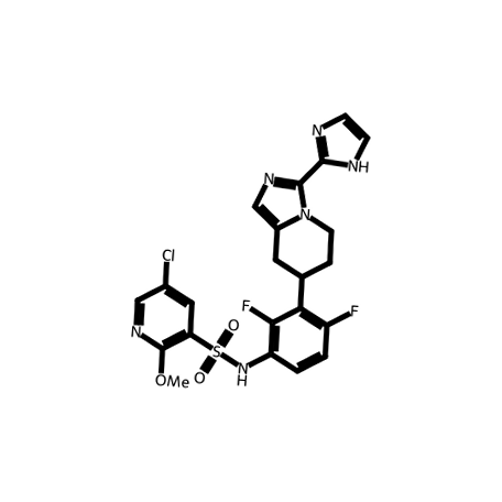 COc1ncc(Cl)cc1S(=O)(=O)Nc1ccc(F)c(C2CCn3c(cnc3-c3ncc[nH]3)C2)c1F